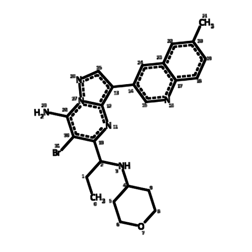 CCC(NC1CCOCC1)c1nc2c(-c3cnc4ccc(C)cc4c3)cnn2c(N)c1Br